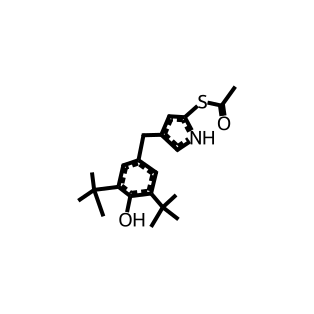 CC(=O)Sc1cc(Cc2cc(C(C)(C)C)c(O)c(C(C)(C)C)c2)c[nH]1